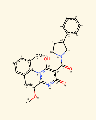 COc1cccc(OC)c1-n1c(COC(C)C)nc(=O)c(C(=O)N2CCC(c3ccccc3)C2)c1O